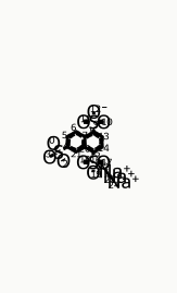 O=S(=O)([O-])c1ccc2c(S(=O)(=O)[O-])ccc(S(=O)(=O)[O-])c2c1.[Na+].[Na+].[Na+]